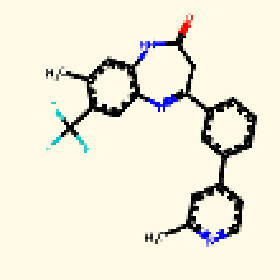 Cc1cc(-c2cccc(C3=Nc4cc(C(F)(F)F)c(C)cc4NC(=O)C3)c2)ccn1